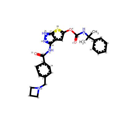 CC(C)(NC(=O)Oc1cc2c(NC(=O)c3ccc(CN4CCC4)cc3)n[nH]c2s1)c1ccccc1